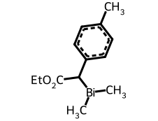 CCOC(=O)[CH](c1ccc(C)cc1)[Bi]([CH3])[CH3]